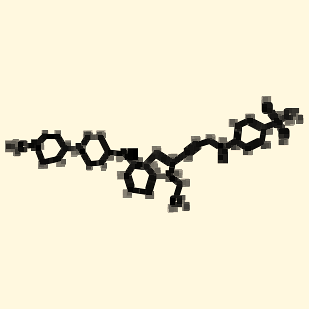 CN1CCC(N2CCC(Nc3cccc4c3cc(C#CCNc3ccc(S(=O)(=O)C(F)(F)F)cc3)n4CC(F)(F)F)CC2)CC1